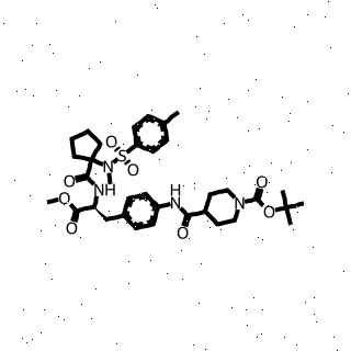 COC(=O)[C@H](Cc1ccc(NC(=O)C2CCN(C(=O)OC(C)(C)C)CC2)cc1)NC(=O)C1(N(C)S(=O)(=O)c2ccc(C)cc2)CCCC1